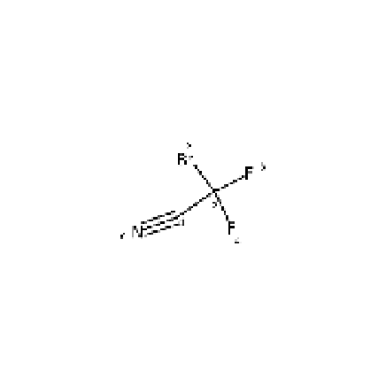 N#CC(F)(F)Br